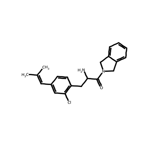 CC(C)=Cc1ccc(CC(N)C(=O)N2Cc3ccccc3C2)c(Cl)c1